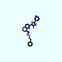 Cc1nc(-c2cccnc2)sc1-c1ccc2c(n1)/C(=N/OCCCc1ccccc1)CCC2